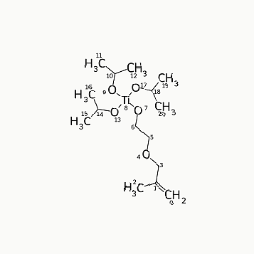 C=C(C)COCC[O][Ti]([O]C(C)C)([O]C(C)C)[O]C(C)C